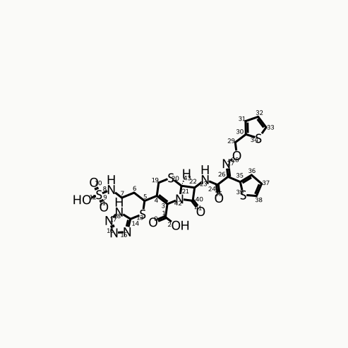 O=C(O)C1=C(C(CCNS(=O)(=O)O)Sc2nnn[nH]2)CS[C@H]2C(NC(=O)C(=NOCc3cccs3)c3cccs3)C(=O)N12